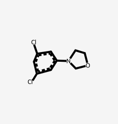 Clc1cc(Cl)cc(N2CCOC2)c1